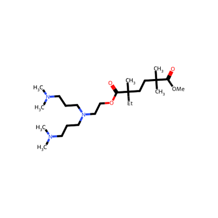 CCC(C)(CCC(C)(C)C(=O)OC)C(=O)OCCN(CCCN(C)C)CCCN(C)C